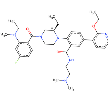 CCOc1ncccc1-c1ccc(N2CCN(C(=O)c3ccc(F)cc3N(C)CC)C[C@H]2CC)c(C(=O)NCCN(C)C)c1